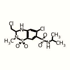 CC(C)NS(=O)(=O)c1cc2c(cc1Cl)NC(CCl)N(C)S2(=O)=O